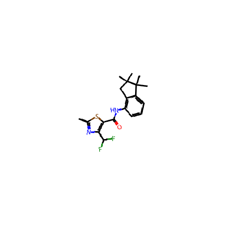 Cc1nc(C(F)F)c(C(=O)Nc2cccc3c2CC(C)(C)C3(C)C)s1